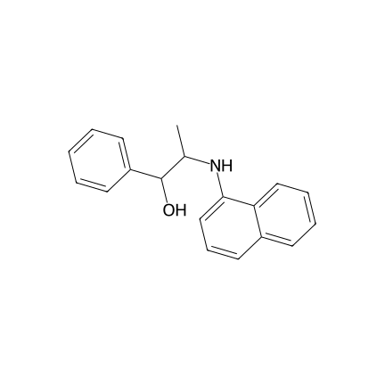 CC(Nc1cccc2ccccc12)C(O)c1ccccc1